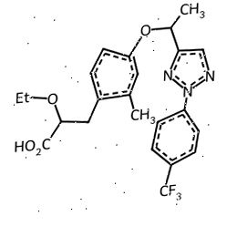 CCOC(Cc1ccc(OC(C)c2cnn(-c3ccc(C(F)(F)F)cc3)n2)cc1C)C(=O)O